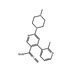 C=C=C(NC)c1cnc(N2CCN(C)CC2)cc1-c1cccnc1C